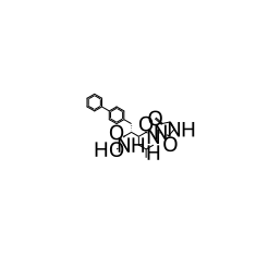 CC(C)CC(C(=O)NN1C(=O)CNC1=O)[C@@H](Cc1ccc(-c2ccccc2)cc1)C(=O)NO